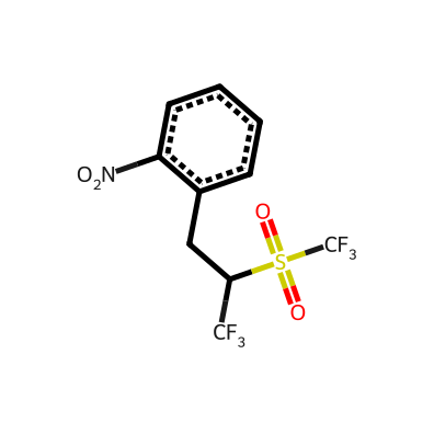 O=[N+]([O-])c1ccccc1CC(C(F)(F)F)S(=O)(=O)C(F)(F)F